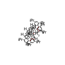 C[SiH2][Zr]([Cl])([Cl])([CH2]C[CH2][Zr]([Cl])([Cl])([SiH2]C)([CH]1C(C)=Cc2c(C(C)C)cc(C(C)C)cc21)[CH]1C(C)=Cc2c(C(C)C)cc(C(C)C)cc21)([CH]1C(C)=Cc2c(C(C)C)cc(C(C)C)cc21)[CH]1C(C)=Cc2c(C(C)C)cc(C(C)C)cc21